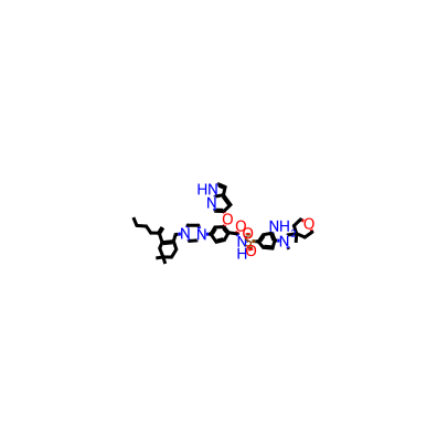 C=C(CCCC)C1=C(CN2CCN(c3ccc(C(=O)NS(=O)(=O)c4ccc(N(C)CC5(C)CCOCC5)c(N)c4)c(Oc4cnc5[nH]ccc5c4)c3)CC2)CCC(C)(C)C1